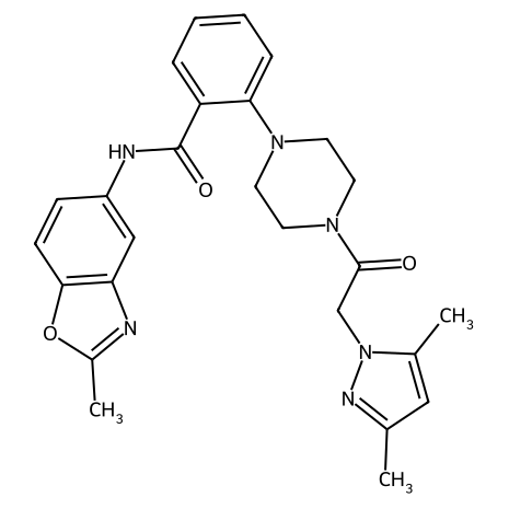 Cc1cc(C)n(CC(=O)N2CCN(c3ccccc3C(=O)Nc3ccc4oc(C)nc4c3)CC2)n1